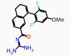 COc1cc(F)c(C2=CCCc3ccc(C(=O)N=C(N)N)cc32)c(F)c1